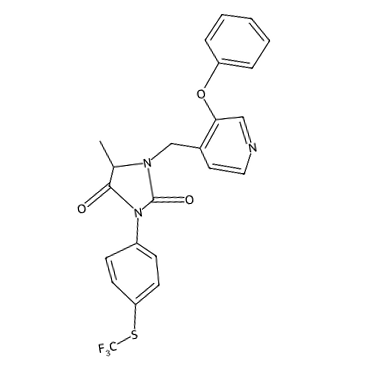 CC1C(=O)N(c2ccc(SC(F)(F)F)cc2)C(=O)N1Cc1ccncc1Oc1ccccc1